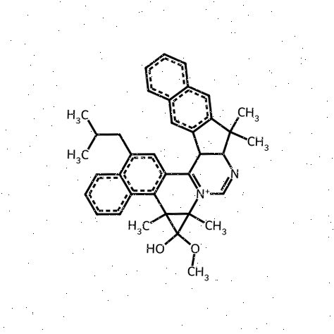 COC1(O)C2(C)c3c(cc(CC(C)C)c4ccccc34)C3=[N+](C=NC4C3c3cc5ccccc5cc3C4(C)C)C12C